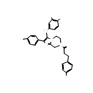 O=C(CCc1ccc(F)cc1)N1CCn2c(nc(-c3ccc(F)cc3)c2Nc2ccc(F)c(F)c2)C1